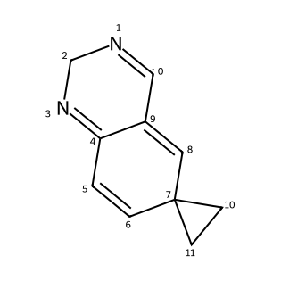 [C]1=NCN=C2C=CC3(C=C12)CC3